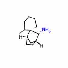 CC1CCCC[C@]12[C@H]1CC[C@H](C1)[C@H]2N